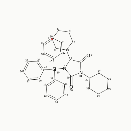 O=C1C(C2CCCCC2)N([Si](c2ccccc2)(c2ccccc2)c2ccccc2)C(=O)N1C1CCCCC1